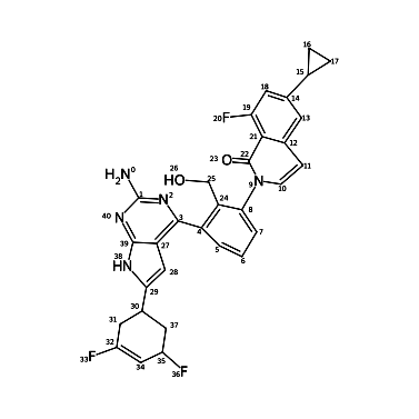 Nc1nc(-c2cccc(-n3ccc4cc(C5CC5)cc(F)c4c3=O)c2CO)c2cc(C3CC(F)=CC(F)C3)[nH]c2n1